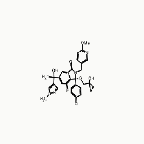 COc1ccc(CN2C(=O)c3cc(C(C)(O)c4cnn(C)c4)cc(F)c3[C@]2(OCC2(O)CC2)c2ccc(Cl)cc2)cn1